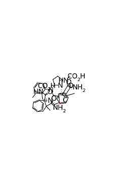 Cc1cccc(N(C2CCCN2[C@@]2(C(=O)NC(=O)O)c3ccc(cc3)CC2(C)C(N)=O)C2CCCN2[C@@]2(C(=O)NC(=O)O)c3ccc(cc3)CC2(C)C(N)=O)c1C